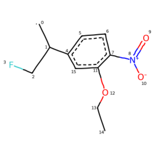 [CH2]C(CF)c1ccc([N+](=O)[O-])c(OCC)c1